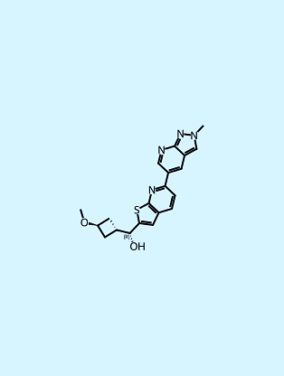 CO[C@H]1C[C@H]([C@@H](O)c2cc3ccc(-c4cnc5nn(C)cc5c4)nc3s2)C1